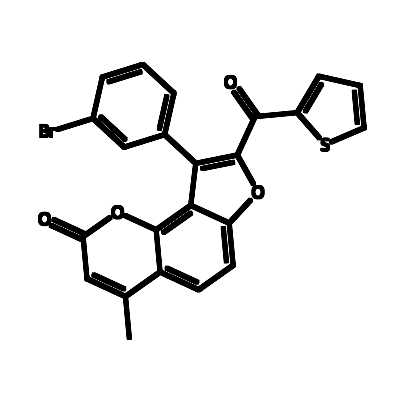 Cc1cc(=O)oc2c1ccc1oc(C(=O)c3cccs3)c(-c3cccc(Br)c3)c12